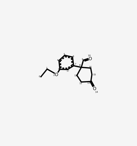 CCOc1cccc(C2(C=O)CCC(=O)CC2)c1